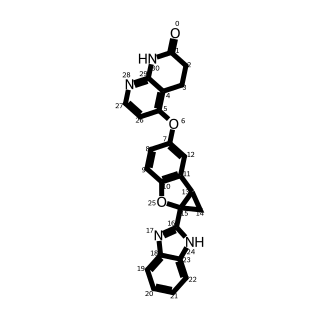 O=C1CCc2c(Oc3ccc4c(c3)C3CC3(c3nc5ccccc5[nH]3)O4)ccnc2N1